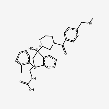 CNCc1ccc(C(=O)N2CCC[C@@H]([C@@](O)(CCCNC(=O)O)c3ccccc3Oc3ccccc3C)C2)cc1